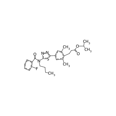 CCCCN(C(=O)c1ccccc1F)c1nnc(-c2cc(C)c(CCC(=O)OC(C)C)c(C)c2)s1